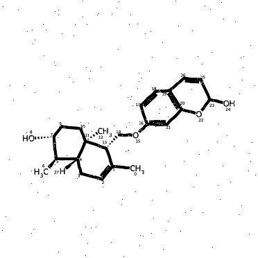 CC1=CC[C@@H]2[C@@H](C)[C@H](O)CC[C@@]2(C)[C@@H]1COc1ccc2c(c1)OC(O)C=C2